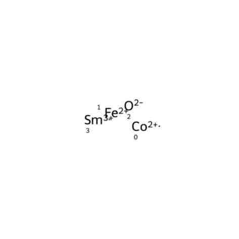 [Co+2].[Fe+2].[O-2].[Sm+3]